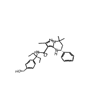 CCC(CC)(NC(=O)c1c(C)nn2c1N[C@@H](c1ccccc1)CC2(C)C)c1ccc(CO)cc1